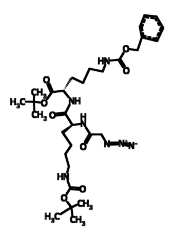 CC(C)(C)OC(=O)NCCCC[C@H](NC(=O)CN=[N+]=[N-])C(=O)N[C@@H](CCCCNC(=O)OCc1ccccc1)C(=O)OC(C)(C)C